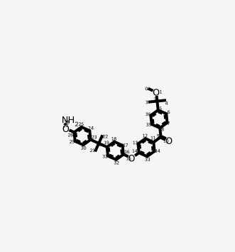 COC(C)(C)c1ccc(C(=O)c2ccc(Oc3ccc(C(C)(C)c4ccc(ON)cc4)cc3)cc2)cc1